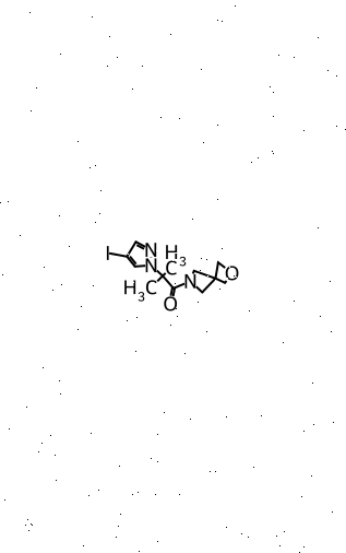 CC(C)(C(=O)N1CC2(COC2)C1)n1cc(I)cn1